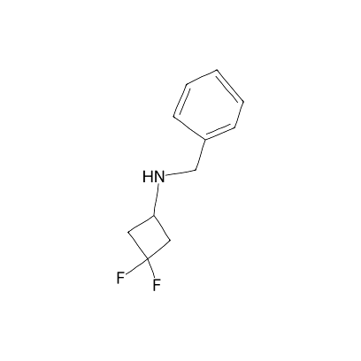 FC1(F)CC(NCc2ccccc2)C1